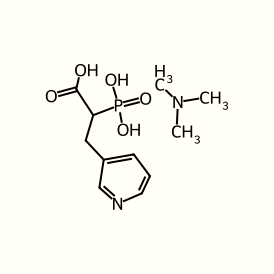 CN(C)C.O=C(O)C(Cc1cccnc1)P(=O)(O)O